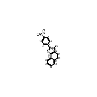 Cn1c(-c2ccc([N+](=O)[O-])cc2)nc2c3ccccc3ccc21